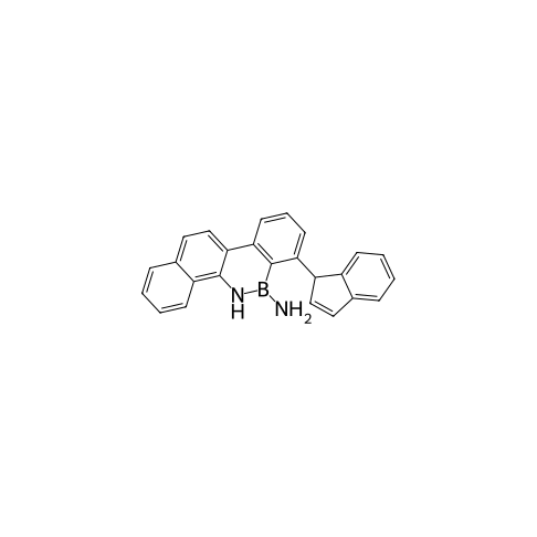 NB1Nc2c(ccc3ccccc23)-c2cccc(C3C=Cc4ccccc43)c21